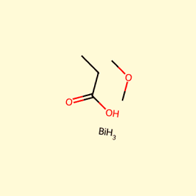 CCC(=O)O.COC.[BiH3]